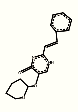 O=c1nc(C=Cc2ccccc2)[nH]cc1OC1CCCCO1